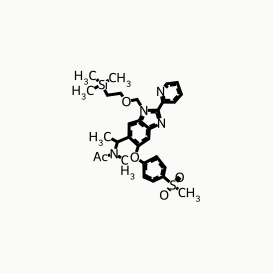 CC(=O)N(C)C(C)c1cc2c(cc1Oc1ccc(S(C)(=O)=O)cc1)nc(-c1ccccn1)n2COCC[Si](C)(C)C